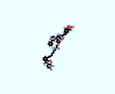 CC(C)(C)[C@H](NC(=O)c1cc2cc(C(F)(F)P(=O)(O)O)ccc2s1)C(=O)N1C[C@@H](OCC(=O)NCCCCCC#Cc2cccc3c2C(=O)N(C2CCC(=O)NC2=O)C3=O)C[C@H]1C(=O)N1CCOC(c2ccccc2)C1